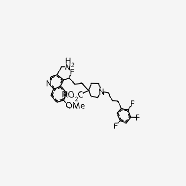 COc1ccc2ncc(CN)c([C@@H](F)CCC3(C(=O)O)CCN(CCCc4cc(F)cc(F)c4F)CC3)c2c1